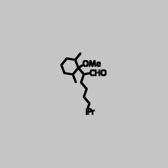 COC1(C(C=O)CCCCC(C)C)C(C)CCCC1C